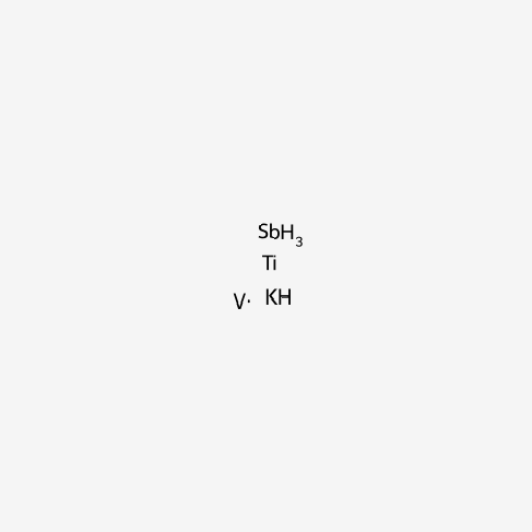 [KH].[SbH3].[Ti].[V]